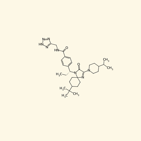 CC[C@H](c1ccc(C(=O)NCc2nn[nH]n2)cc1)N1C(=O)C(N2CCC(C(C)C)CC2)=NC12CCC(C(C)(C)C)CC2